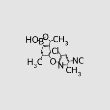 [C-]#[N+]c1cc(Cl)c(Oc2cc3c(cc2C)B(O)OC3C)nc1C